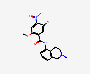 COc1cc([N+](=O)[O-])c(Cl)cc1C(=O)Nc1cccc2c1CCN(C)C2